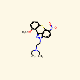 CCN(CC)CCn1nc2c3c(c([N+](=O)[O-])ccc31)Sc1cccc(OC)c1-2